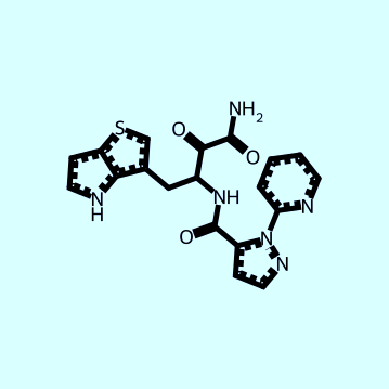 NC(=O)C(=O)C(Cc1csc2cc[nH]c12)NC(=O)c1ccnn1-c1ccccn1